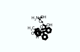 Cc1cn([C@@]2(C(c3ccccc3)(c3ccccc3)c3ccccc3)C[C@H](O)[C@@H](COP(N)O)O2)c(=O)[nH]c1=O